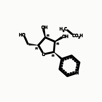 CC(=O)O.OC[C@H]1O[C@@H](c2ccncc2)[C@H](O)[C@@H]1O